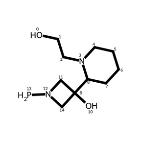 OCCN1CCCCC1C1(O)CN(P)C1